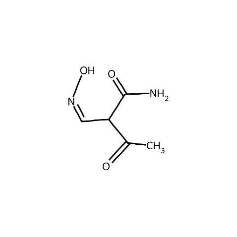 CC(=O)C(/C=N\O)C(N)=O